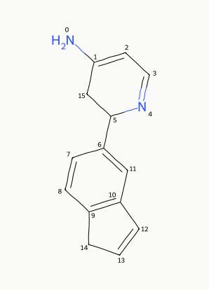 NC1=CC=NC(c2ccc3c(c2)C=CC3)C1